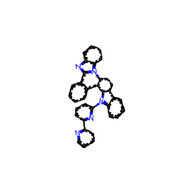 c1ccc(-c2cccc(-n3c4ccccc4c4ccc5c(c6ccccc6c6nc7ccccc7n56)c43)n2)nc1